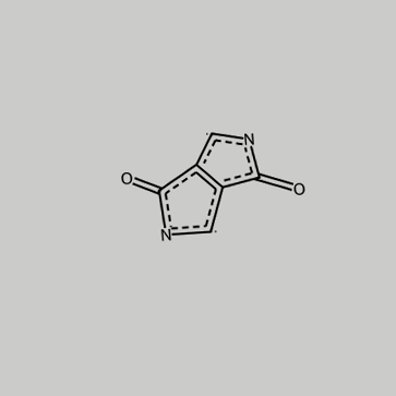 O=c1n[c]c2c(=O)n[c]c1=2